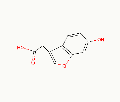 O=C(O)Cc1coc2cc(O)ccc12